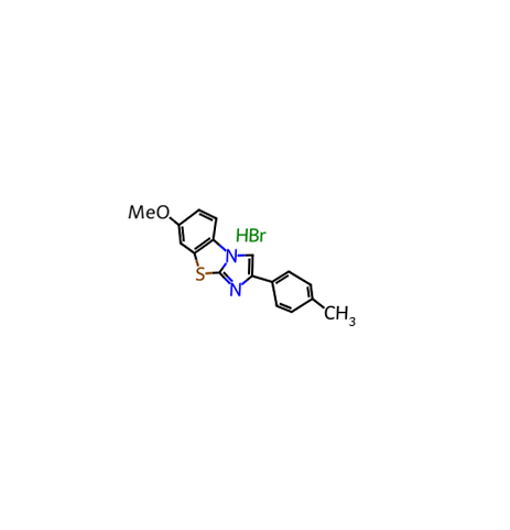 Br.COc1ccc2c(c1)sc1nc(-c3ccc(C)cc3)cn12